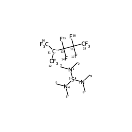 CN(C)[S+](N(C)C)N(C)C.FC(F)(F)[C-](C(F)(F)F)C(F)(F)C(F)(F)C(F)(F)F